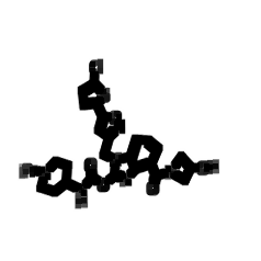 CC(C)N1CCC(NC(=O)Oc2nc3c(C(=O)N4CC(O)C4)cccc3n2Cc2cc(-c3ccc(Cl)s3)on2)CC1